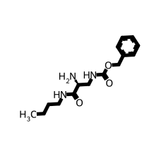 CCCCNC(=O)[C@@H](N)CNC(=O)OCc1ccccc1